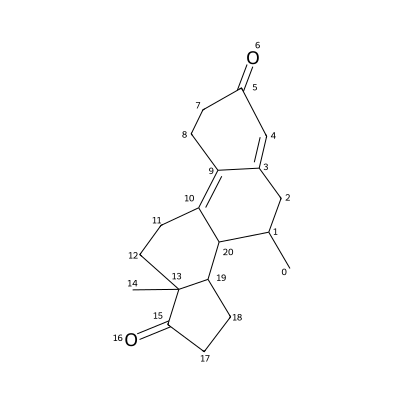 CC1CC2=CC(=O)CCC2=C2CCC3(C)C(=O)CCC3C21